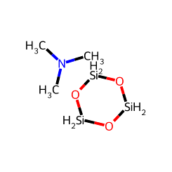 CN(C)C.O1[SiH2]O[SiH2]O[SiH2]1